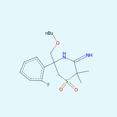 CCCCOCC1(c2ccccc2F)CS(=O)(=O)C(C)(C)C(=N)N1